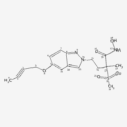 CC#CCOc1ccc2nn(CCC(C)(C(=O)NO)S(C)(=O)=O)cc2c1